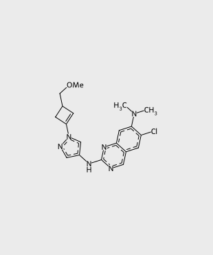 COCC1C=C(n2cc(Nc3ncc4cc(Cl)c(N(C)C)cc4n3)cn2)C1